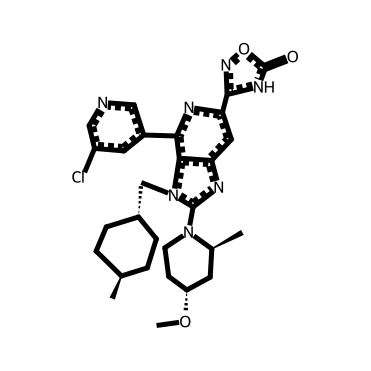 CO[C@@H]1CCN(c2nc3cc(-c4noc(=O)[nH]4)nc(-c4cncc(Cl)c4)c3n2C[C@H]2CC[C@H](C)CC2)[C@@H](C)C1